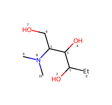 CCC(O)C(O)C(CO)N(C)C